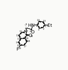 CCc1ccc(NC(=O)[C@@H](C)n2ccc3cc(F)ccc3c2=O)cc1